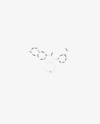 O=C(O)c1cccc(NC(=O)c2cc3ccc(F)cc3nc2N2CCCC(F)(F)CC2)c1